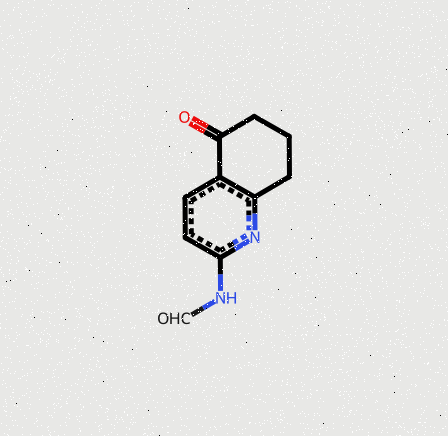 O=CNc1ccc2c(n1)CCCC2=O